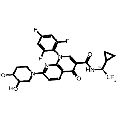 O=C(N[C@@H](C1CC1)C(F)(F)F)c1cn(-c2c(F)cc(F)cc2F)c2nc(N3CCC(O)C(O)C3)ccc2c1=O